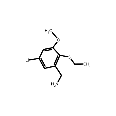 CCSc1c(CN)cc(Cl)cc1OC